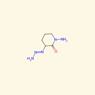 NN=NC1CCCN(N)C1=O